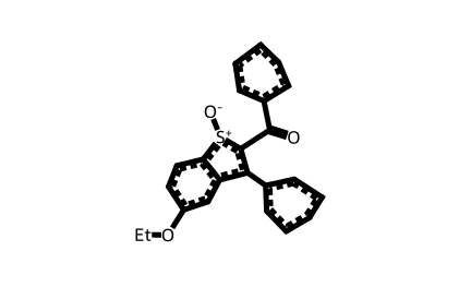 CCOc1ccc2c(c1)c(-c1ccccc1)c(C(=O)c1ccccc1)[s+]2[O-]